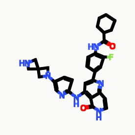 O=C(Nc1ccc(-c2cc(Nc3ccc(N4CC5(CNC5)C4)cn3)c3c(=O)[nH]ccc3n2)cc1F)C1CCCCC1